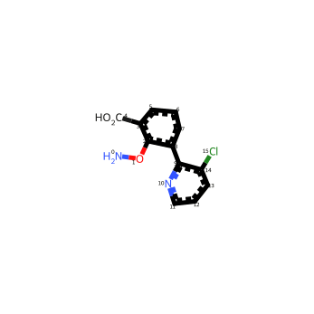 NOc1c(C(=O)O)cccc1-c1ncccc1Cl